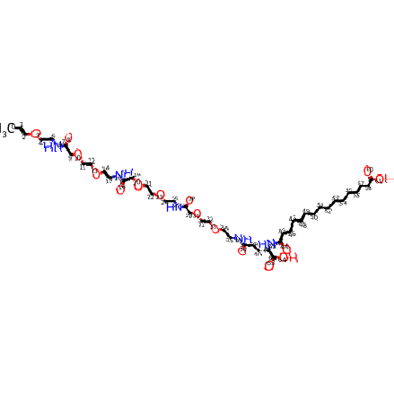 CCCOCCNC(=O)COCCOCCNC(=O)COCCOCCNC(=O)COCCOCCNC(=O)CC[C@H](NC(=O)CCCCCCCCCCCCCCC(=O)O)C(=O)O